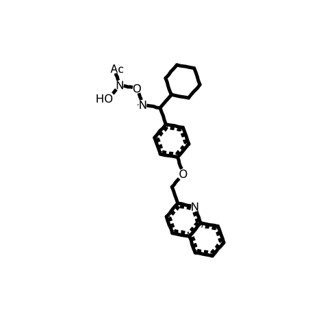 CC(=O)N(O)O[N]C(c1ccc(OCc2ccc3ccccc3n2)cc1)C1CCCCC1